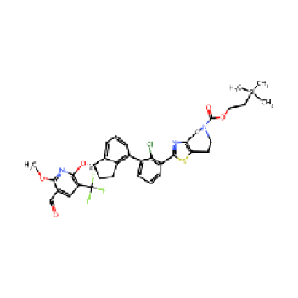 COc1nc(O[C@H]2CCc3c(-c4cccc(-c5nc6c(s5)CCN(C(=O)OCC[Si](C)(C)C)C6)c4Cl)cccc32)c(C(F)(F)F)cc1C=O